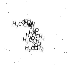 CCOC(C)(C)CCn1cc(CCC(=O)NCC(C)(C)COC(C)(C)CCCC(C)(C)C)nn1